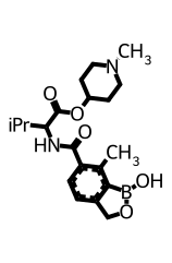 Cc1c(C(=O)NC(C(=O)OC2CCN(C)CC2)C(C)C)ccc2c1B(O)OC2